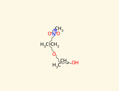 CN1CC(=O)N(CCCCC(C)(C)CCCCOCCCCC(C)(C)CCCCCO)C1=O